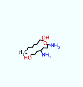 CCCCCCC(=O)O.NCCCC(N)CCCO